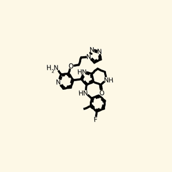 Cc1c(F)cccc1Nc1c(-c2ccnc(N)c2OCCn2ccnn2)[nH]c2c1C(=O)NCC2